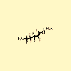 CCCCCCOC(F)=C(F)C(F)(F)C(F)(F)C(F)(F)C(F)(F)F